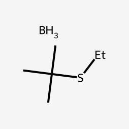 B.CCSC(C)(C)C